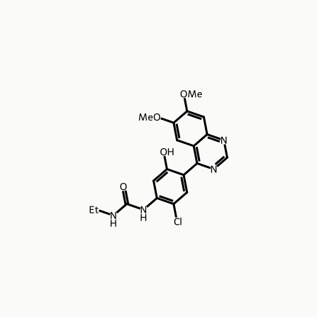 CCNC(=O)Nc1cc(O)c(-c2ncnc3cc(OC)c(OC)cc23)cc1Cl